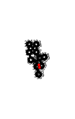 C1=CC(c2ccc3c(c2)C2(c4ccccc4-c4ccccc42)c2ccccc2-3)CC(N(c2ccc(-c3ccccc3)cc2)c2ccc3ccccc3c2-c2ccccc2)=C1